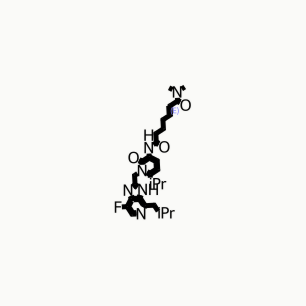 CC(C)Cc1ncc(F)c2nc(Cn3c(C(C)C)ccc(NC(=O)CCC/C=C/C(=O)N(C)C)c3=O)[nH]c12